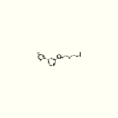 ICCCCCOc1cccc(-c2ccsc2)c1